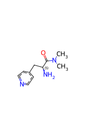 CN(C)C(=O)[C@@H](N)Cc1ccncc1